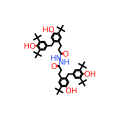 CC(C)(C)c1cc(CCC(=O)NNC(=O)CCc2cc(C(C)(C)C)c(O)cc2Cc2cc(C(C)(C)C)c(O)c(C(C)(C)C)c2)c(Cc2cc(C(C)(C)C)c(O)c(C(C)(C)C)c2)cc1O